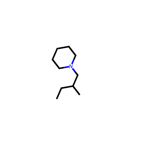 CCC(C)CN1CCCCC1